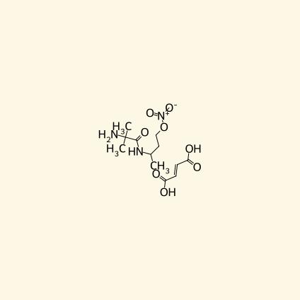 CC(CCO[N+](=O)[O-])NC(=O)C(C)(C)N.O=C(O)C=CC(=O)O